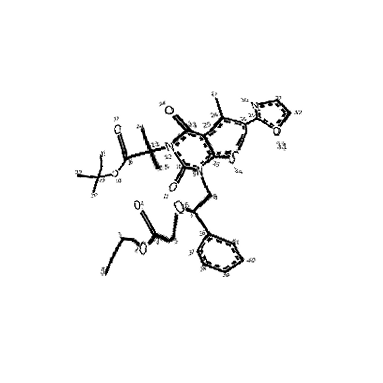 CCOC(=O)COC(Cn1c(=O)n(C(C)(C)C(=O)OC(C)(C)C)c(=O)c2c(C)c(-c3ncco3)sc21)c1ccccc1